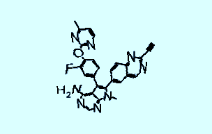 C#Cc1ncc2cc(-c3c(-c4ccc(Oc5nccc(C)n5)c(F)c4)c4c(N)ncnc4n3C)ccc2n1